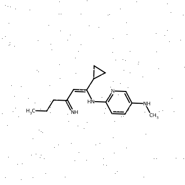 CCCC(=N)/C=C(\Nc1ccc(NC)cn1)C1CC1